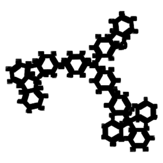 c1ccc([Si](c2ccccc2)(c2ccccc2)c2ccc(-c3ccc(N(c4ccc(-c5ccc6c7cccc8c9ccccc9n(c6c5)c87)cc4)c4ccc5c(c4)oc4ccccc45)cc3)cc2)cc1